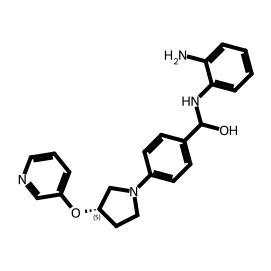 Nc1ccccc1NC(O)c1ccc(N2CC[C@H](Oc3cccnc3)C2)cc1